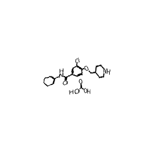 O=C(NC1CCCCC1)c1ccc(OCC2CCNCC2)c(Cl)c1.O=C(O)O